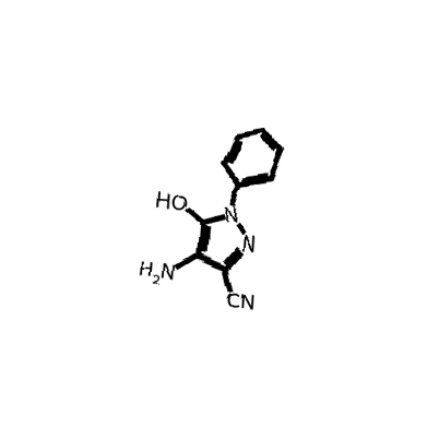 N#Cc1nn(-c2ccccc2)c(O)c1N